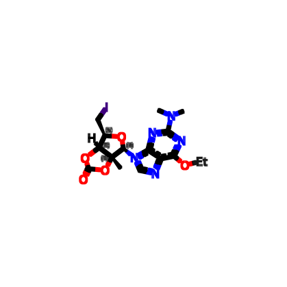 CCOc1nc(N(C)C)nc2c1ncn2[C@@H]1O[C@H](CI)[C@H]2OC(=O)O[C@]21C